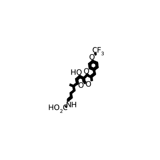 CC(=Cc1ccc(OCC(F)(F)F)cc1)C(=O)c1c(O)cc(C(C)CCC=CNC(=O)O)oc1=O